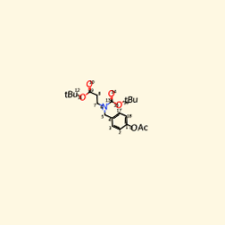 CC(=O)Oc1ccc(CN(CCC(=O)OC(C)(C)C)C(=O)OC(C)(C)C)cc1